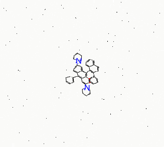 C1=CCCC(c2c3cc(N4CCCCC4)ccc3c(-c3c(-c4ccccc4)ccc4ccccc34)c3cc(N4CCCCC4)ccc23)=C1